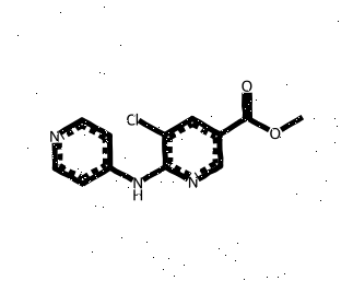 COC(=O)c1cnc(Nc2ccncc2)c(Cl)c1